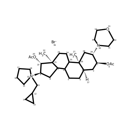 CC(=O)O[C@H]1C[C@H]2CCC3C4C[C@@H]([N+]5(CC6CC6)CCCC5)[C@H](OC(C)=O)[C@@]4(C)CCC3[C@@]2(C)C[C@@H]1N1CCOCC1.[Br-]